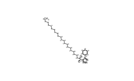 CCCCCCCCCCCCCCCCCCCCCCS(=O)(=O)c1nnnn1-c1ccccc1